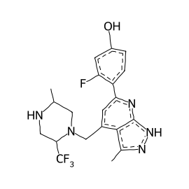 Cc1n[nH]c2nc(-c3ccc(O)cc3F)cc(CN3CC(C)NCC3C(F)(F)F)c12